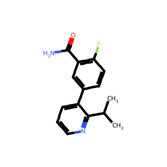 CC(C)c1ncccc1-c1ccc(F)c(C(N)=O)c1